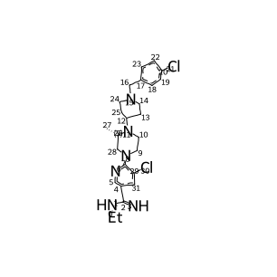 CCNC(=N)c1cnc(N2CCN(C3CCN(Cc4ccc(Cl)cc4)CC3)[C@@H](C)C2)c(Cl)c1